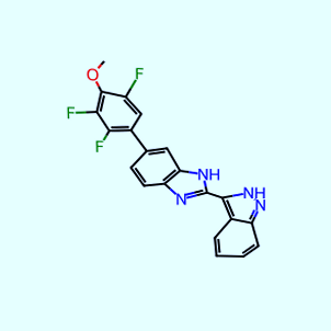 COc1c(F)cc(-c2ccc3nc(-c4[nH]nc5ccccc45)[nH]c3c2)c(F)c1F